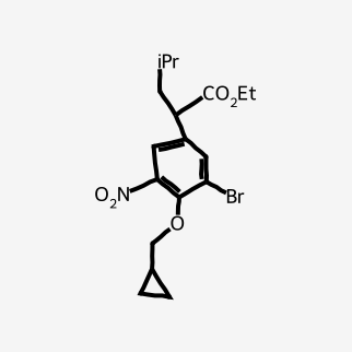 CCOC(=O)C(CC(C)C)c1cc(Br)c(OCC2CC2)c([N+](=O)[O-])c1